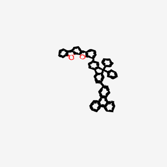 c1ccc(C2(c3ccccc3)c3cc(-c4ccc5c6ccccc6c6ccccc6c5c4)ccc3-c3ccc(-c4cccc5c4oc4c5ccc5c6ccccc6oc54)cc32)cc1